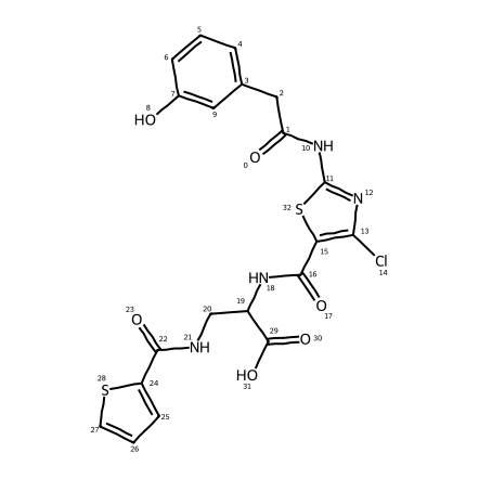 O=C(Cc1cccc(O)c1)Nc1nc(Cl)c(C(=O)NC(CNC(=O)c2cccs2)C(=O)O)s1